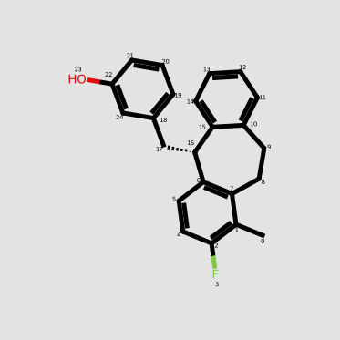 Cc1c(F)ccc2c1CCc1ccccc1[C@H]2Cc1cccc(O)c1